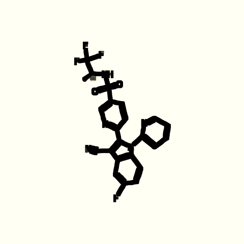 C[C@H](NS(=O)(=O)c1ccc(-c2c(C#N)c3cc(F)ccc3n2-c2ccccn2)nc1)C(F)(F)F